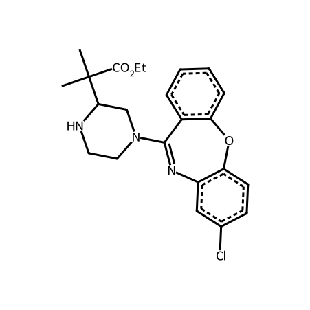 CCOC(=O)C(C)(C)C1CN(C2=Nc3cc(Cl)ccc3Oc3ccccc32)CCN1